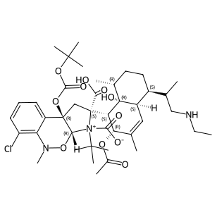 CCNCC(C)[C@@H]1CC[C@@H](C)[C@@]2(O)[C@@H]1C=C(C)[C@H](OC(C)=O)[C@@H]2[C@]1(C(=O)O)C[C@@]2(OC(=O)OC(C)(C)C)c3cccc(Cl)c3N(C)O[C@H]2[N+]1(C(=O)[O-])C(C)(C)C